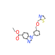 CCOC(=O)c1ccc2c(c1)ncn2-c1cccc(COCc2nccs2)c1